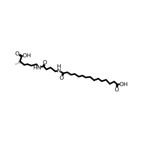 C[C@@H](CCCCNC(=O)CCCNC(=O)CCCCCCCCCCCCCC(=O)O)C(=O)O